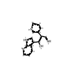 N=C/C(=C(\O)c1c[nH]c2ncccc12)c1cccnc1